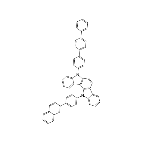 c1ccc(-c2ccc(-c3ccc(-n4c5ccccc5c5c4ccc4c6ccccc6n(-c6ccc(-c7ccc8ccccc8c7)cc6)c45)cc3)cc2)cc1